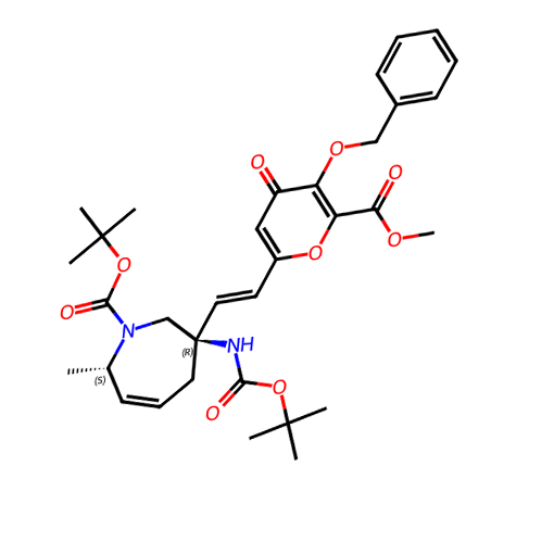 COC(=O)c1oc(C=C[C@]2(NC(=O)OC(C)(C)C)CC=C[C@H](C)N(C(=O)OC(C)(C)C)C2)cc(=O)c1OCc1ccccc1